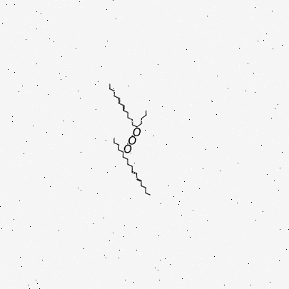 CCCCC=CC=CCCCCC(CCCC)OCOCOC(CCCC)CCCCC=CC=CCCCC